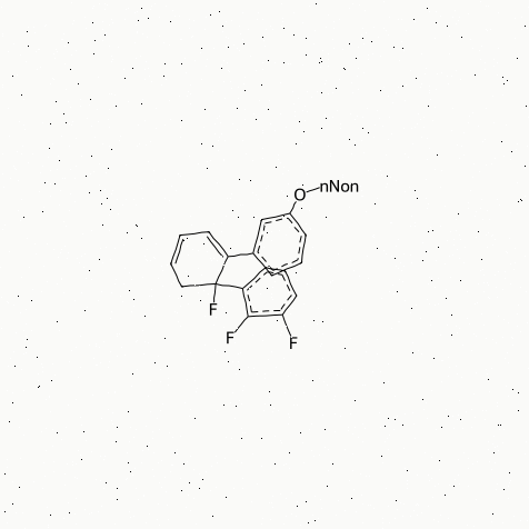 CCCCCCCCCOc1cccc(C2=CC=CCC2(F)c2cccc(F)c2F)c1